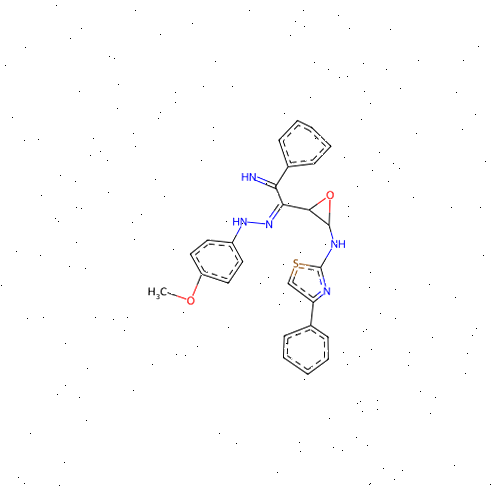 COc1ccc(N/N=C(\C(=N)c2ccccc2)C2OC2Nc2nc(-c3ccccc3)cs2)cc1